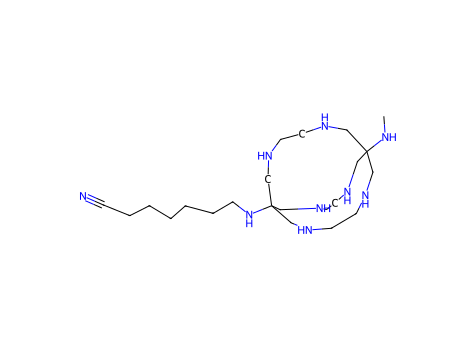 CNC12CNCCNCC(NCCCCCCC#N)(CNCCNC1)CNCCNC2